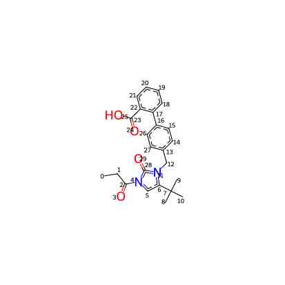 CCC(=O)n1cc(C(C)(C)C)n(Cc2ccc(-c3ccccc3C(=O)O)cc2)c1=O